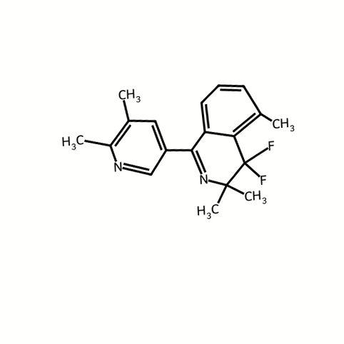 Cc1cc(C2=NC(C)(C)C(F)(F)c3c(C)cccc32)cnc1C